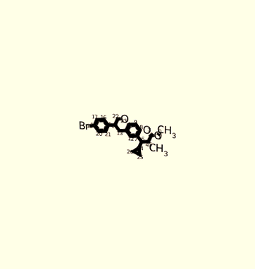 COC(=O)[C@@H](C)C(c1ccc2c(c1)CC(c1ccc(Br)cc1)CO2)C1CC1